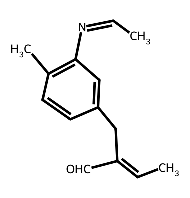 C/C=N\c1cc(C/C(C=O)=C\C)ccc1C